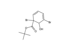 CC(C)(C)OC(=O)C1(Br)C=CC=C(Br)C1O